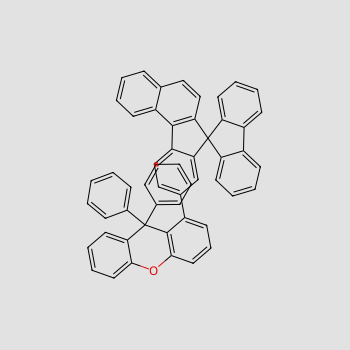 c1ccc(C2(c3ccccc3)c3ccccc3Oc3cccc(-c4ccc5c(c4)C4(c6ccccc6-c6ccccc64)c4ccc6ccccc6c4-5)c32)cc1